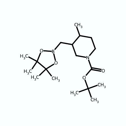 CC1CCN(C(=O)OC(C)(C)C)CC1CB1OC(C)(C)C(C)(C)O1